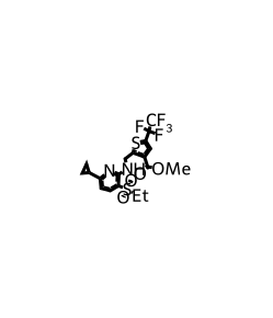 CCS(=O)(=O)c1ccc(C2CC2)nc1NCc1sc(C(F)(F)C(F)(F)F)cc1C(=O)OC